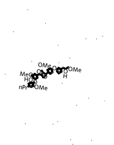 CCCc1ccc(Oc2cc(C3OCC4C(c5ccc(Oc6cccc(CC(O)COC)c6)c(OC)c5)OCC34)cc(OC)c2O)c(OC)c1